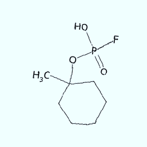 CC1(OP(=O)(O)F)CCCCC1